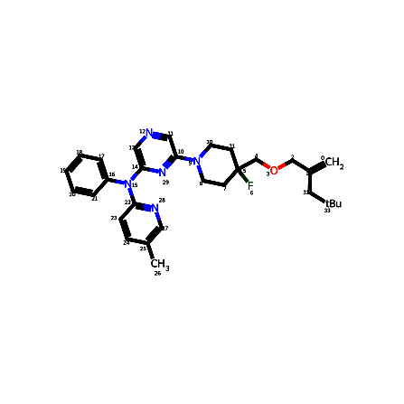 C=C(COCC1(F)CCN(c2cncc(N(c3ccccc3)c3ccc(C)cn3)n2)CC1)CC(C)(C)C